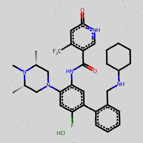 C[C@@H]1CN(c2cc(F)c(-c3ccccc3CNC3CCCCC3)cc2NC(=O)c2c[nH]c(=O)cc2C(F)(F)F)C[C@H](C)N1C.Cl